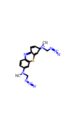 N#CN(CN=[N+]=[N-])c1ccc2nc3cc/c(=[N+](\C#N)CN=[N+]=[N-])cc-3sc2c1